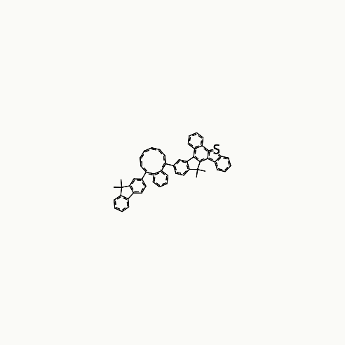 CC1(C)c2ccccc2-c2ccc(-c3ccccccc(-c4ccc5c(c4)-c4c(c6c7ccccc7sc6c6ccccc46)C5(C)C)c4ccccc34)cc21